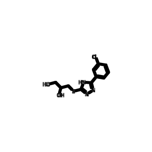 OCC(O)CSc1nnc(-c2cccc(Cl)c2)[nH]1